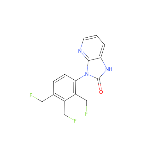 O=c1[nH]c2cccnc2n1-c1ccc(CF)c(CF)c1CF